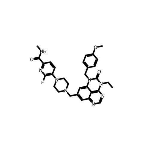 CCN1C(=O)N(Cc2ccc(OC)cc2)c2cc(CN3CCN(c4ccc(C(=O)NC)nc4F)CC3)cc3ncnc1c23